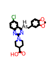 O=C(O)C1CCN(c2nc([AsH]Cc3ccc4c(c3)OCO4)c3cc(Cl)ccc3n2)CC1